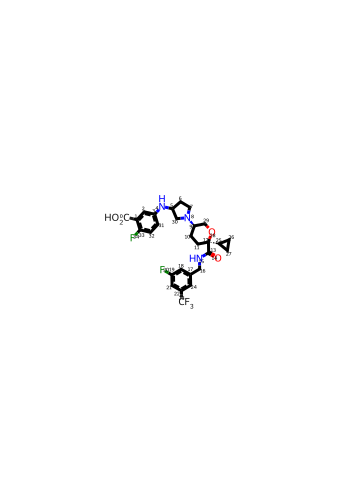 O=C(O)c1cc(NC2CCN([C@@H]3CC[C@@](C(=O)NCc4cc(F)cc(C(F)(F)F)c4)(C4CC4)OC3)C2)ccc1F